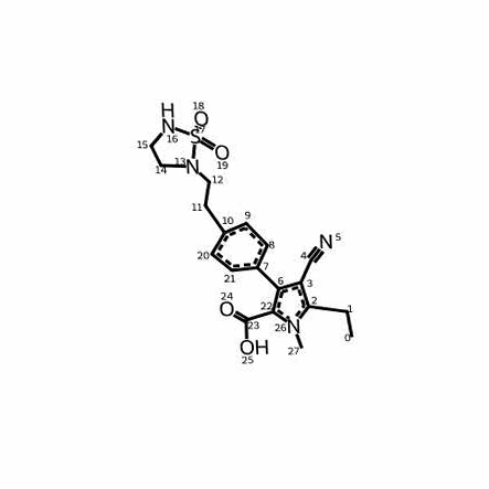 CCc1c(C#N)c(-c2ccc(CCN3CCNS3(=O)=O)cc2)c(C(=O)O)n1C